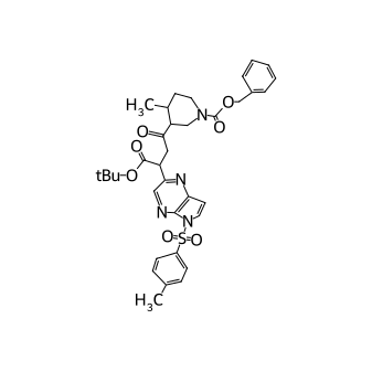 Cc1ccc(S(=O)(=O)n2ccc3nc(C(CC(=O)C4CN(C(=O)OCc5ccccc5)CCC4C)C(=O)OC(C)(C)C)cnc32)cc1